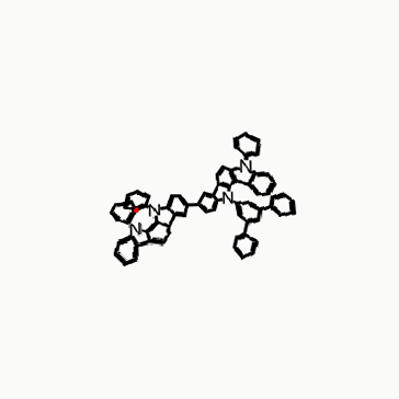 c1ccc(-c2cc(-c3ccccc3)cc(-n3c4ccc(-c5ccc6c(c5)c5ccc7c8ccccc8n(-c8ccccc8)c7c5n6-c5ccccc5)cc4c4ccc5c(c6ccccc6n5-c5ccccc5)c43)c2)cc1